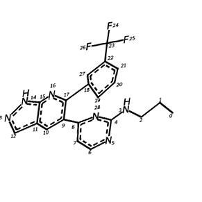 CCCNc1nccc(-c2cc3cn[nH]c3nc2-c2cccc(C(F)(F)F)c2)n1